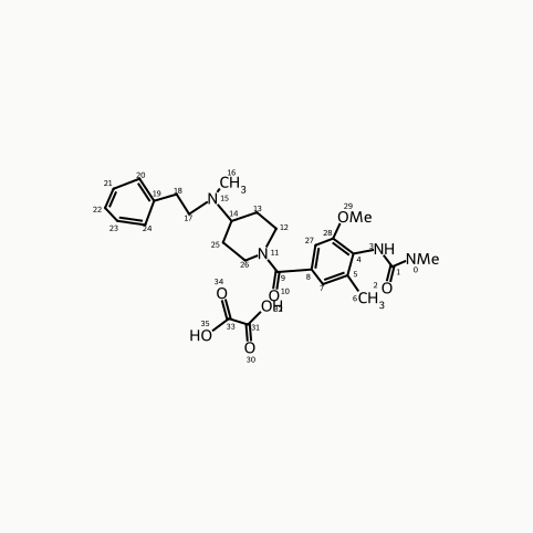 CNC(=O)Nc1c(C)cc(C(=O)N2CCC(N(C)CCc3ccccc3)CC2)cc1OC.O=C(O)C(=O)O